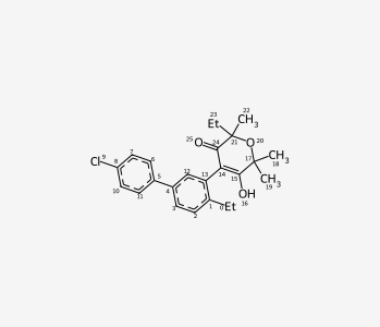 CCc1ccc(-c2ccc(Cl)cc2)cc1C1=C(O)C(C)(C)OC(C)(CC)C1=O